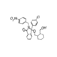 O=C1c2ccccc2C(OCC2CCCCC2CO)(c2ccc(Cl)cc2)N1Cc1ccc([N+](=O)[O-])cc1